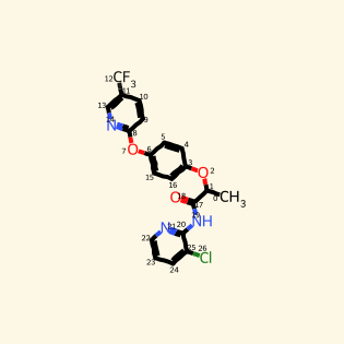 CC(Oc1ccc(Oc2ccc(C(F)(F)F)cn2)cc1)C(=O)Nc1ncccc1Cl